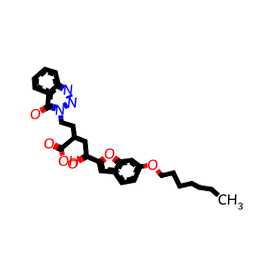 CCCCCCCOc1ccc2cc(C(=O)CC(CCn3nnc4ccccc4c3=O)C(=O)O)oc2c1